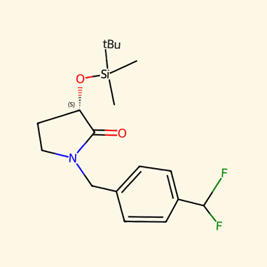 CC(C)(C)[Si](C)(C)O[C@H]1CCN(Cc2ccc(C(F)F)cc2)C1=O